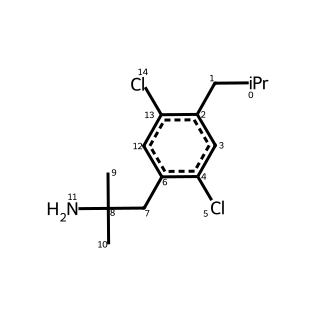 CC(C)Cc1cc(Cl)c(CC(C)(C)N)cc1Cl